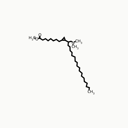 CCCCCCCCCCCCCCCCCCCC(CN(C)C)C1CC1CCCCCCCC(=O)OC